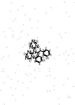 c1ccc(CC(c2ccccc2)N(c2ncncn2)c2ncncn2)cc1